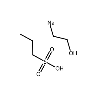 CCCS(=O)(=O)O.OC[CH2][Na]